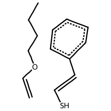 C=COCCCC.SC=Cc1ccccc1